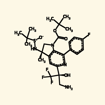 CC(C)(C)OC(=O)N1C[C@@](C)(N[S+]([O-])C(C)(C)C)c2cc([C@](O)(CN)C(F)(F)F)nc(-c3ccc(F)cc3)c21